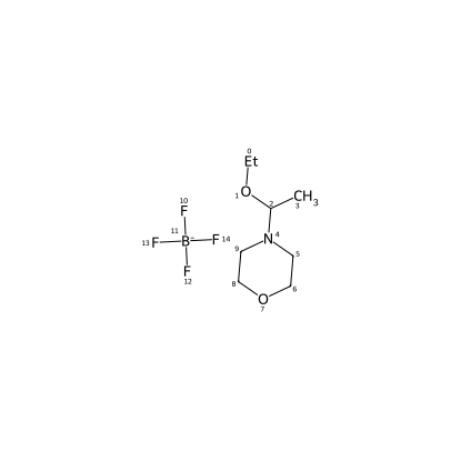 CCOC(C)N1CCOCC1.F[B-](F)(F)F